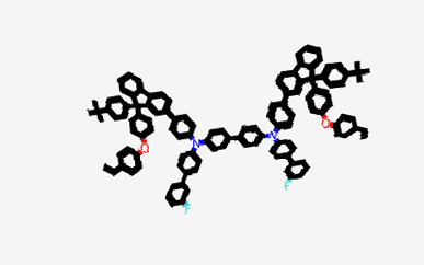 C=Cc1ccc(Oc2ccc(C3(c4ccc(C(C)(C)C)cc4)c4ccccc4-c4ccc(-c5ccc(N(c6ccc(-c7ccc(N(c8ccc(-c9cccc(F)c9)cc8)c8ccc(-c9ccc%10c(c9)C(c9ccc(Oc%11ccc(C=C)cc%11)cc9)(c9ccc(C(C)(C)C)cc9)c9ccccc9-%10)cc8)cc7)cc6)c6ccc(-c7cccc(F)c7)cc6)cc5)cc43)cc2)cc1